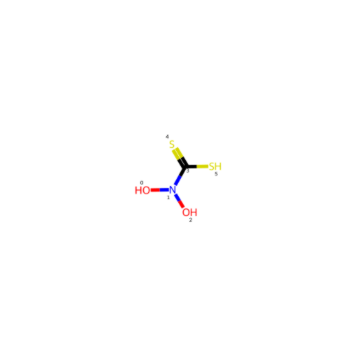 ON(O)C(=S)S